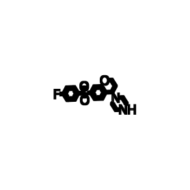 O=S(=O)(c1ccc(F)cc1)c1ccc2c(c1)OCCC2N1CCNCC1